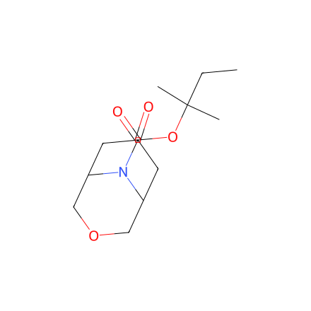 CCC(C)(C)OC(=O)N1C2COCC1CC(=O)C2